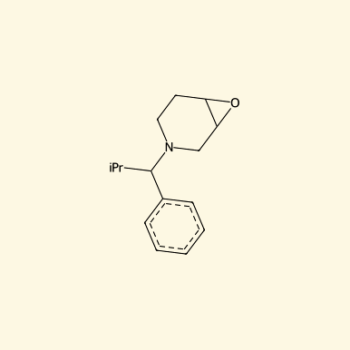 CC(C)C(c1ccccc1)N1CCC2OC2C1